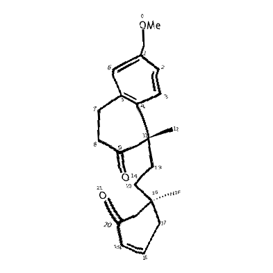 COc1ccc2c(c1)CCC(=O)[C@@]2(C)CC[C@@]1(C)CC=CC1=O